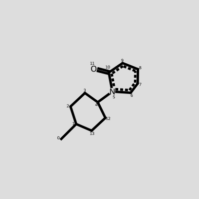 CC1CCC(n2ccccc2=O)CC1